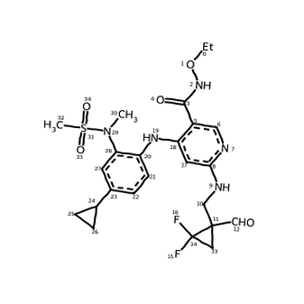 CCONC(=O)c1cnc(NCC2(C=O)CC2(F)F)cc1Nc1ccc(C2CC2)cc1N(C)S(C)(=O)=O